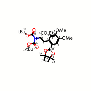 CCOC(=O)[C@H](Cc1cc(OC)c(OC)cc1B1OC(C)(C)C(C)(C)O1)N(C(=O)OC(C)(C)C)C(=O)OC(C)(C)C